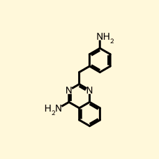 Nc1cccc(Cc2nc(N)c3ccccc3n2)c1